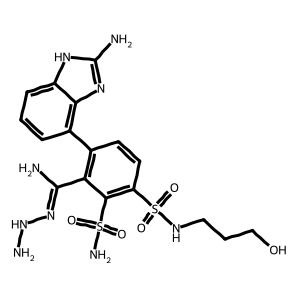 NN/N=C(\N)c1c(-c2cccc3[nH]c(N)nc23)ccc(S(=O)(=O)NCCCO)c1S(N)(=O)=O